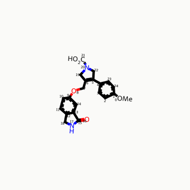 COc1ccc(C2=C(COc3ccc4c(c3)C(=O)NC4)CN(C(=O)O)C2)cc1